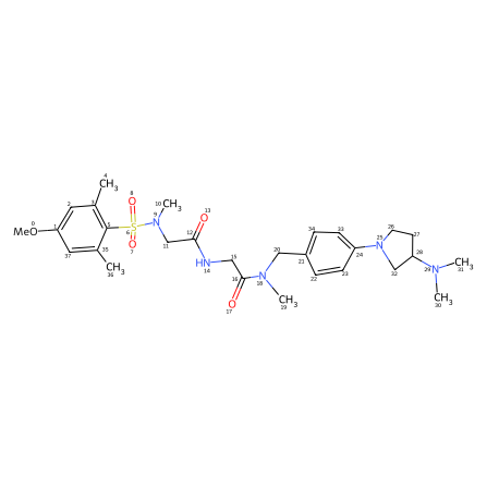 COc1cc(C)c(S(=O)(=O)N(C)CC(=O)NCC(=O)N(C)Cc2ccc(N3CCC(N(C)C)C3)cc2)c(C)c1